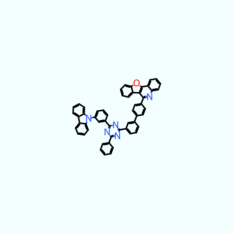 c1ccc(-c2nc(-c3cccc(-c4ccc(-c5nc6ccccc6c6oc7ccccc7c56)cc4)c3)nc(-c3cccc(-n4c5ccccc5c5ccccc54)c3)n2)cc1